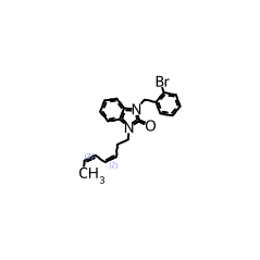 C/C=C\C=C/CCn1c(=O)n(Cc2ccccc2Br)c2ccccc21